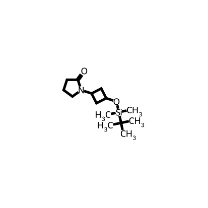 CC(C)(C)[Si](C)(C)OC1CC(N2CCCC2=O)C1